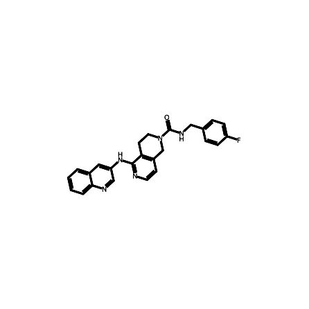 O=C(NCc1ccc(F)cc1)N1CCc2c(ccnc2Nc2cnc3ccccc3c2)C1